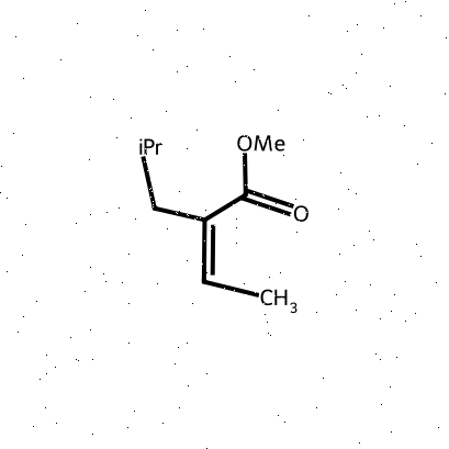 C/C=C(/CC(C)C)C(=O)OC